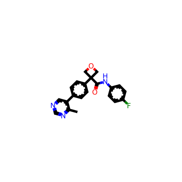 Cc1ncncc1-c1ccc(C2(C(=O)Nc3ccc(F)cc3)COC2)cc1